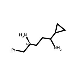 CC(C)C[C@@H](N)CCC(N)C1CC1